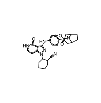 N#CC1CCCCC1n1nc(Nc2ccc(C3CC4CCC(C3)N4C(=O)O)cc2)c2c(=O)[nH]ccc21